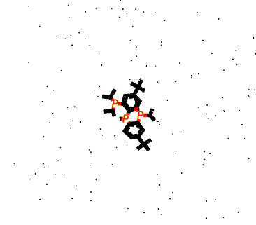 CC(C)P(c1cc(C(C)(C)C)ccc1P(C)c1ccc(C(C)(C)C)cc1P(C(C)C)C(C)C)C(C)C